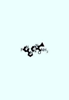 NC(=O)c1c(C2CC2)nn2ccc(N3CCCC3c3cncc(F)c3)nc12